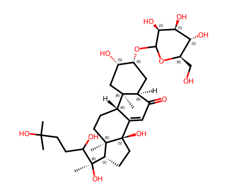 CC(C)(O)CCC(O)[C@](C)(O)[C@H]1CC[C@@]2(O)C3=CC(=O)[C@@H]4C[C@@H](OC5O[C@H](CO)[C@@H](O)[C@H](O)[C@@H]5O)[C@@H](O)C[C@]4(C)[C@H]3CC[C@]12C